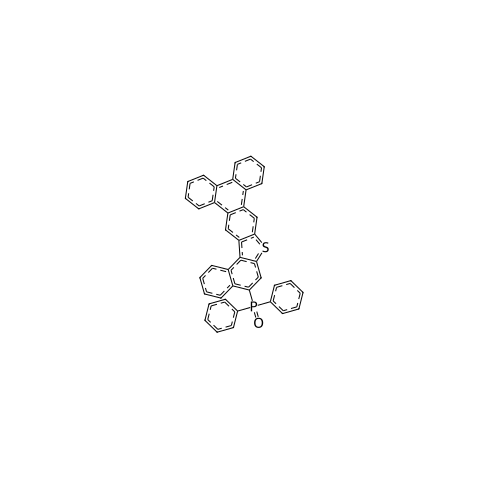 O=P(c1ccccc1)(c1ccccc1)c1cc2sc3cc4c5ccccc5c5ccccc5c4cc3c2c2ccccc12